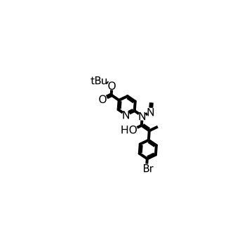 C=NN(/C(O)=C(\C)c1ccc(Br)cc1)c1ccc(C(=O)OC(C)(C)C)cn1